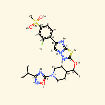 CC(C)c1noc(N2CCC(C(C)Oc3nn4cc(-c5ccc(S(C)(=O)=O)cc5F)nc4s3)CC2)n1